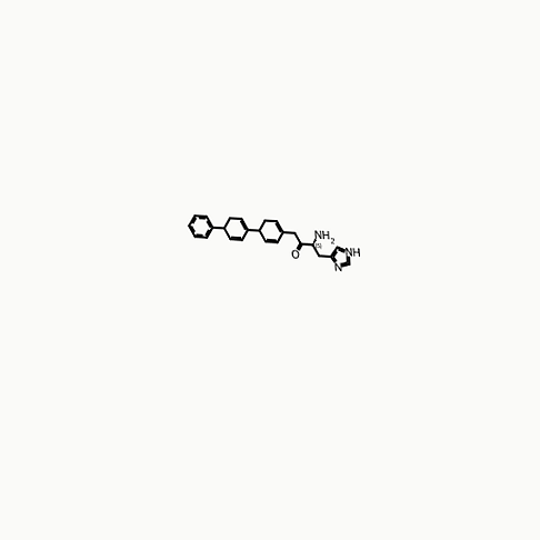 N[C@@H](Cc1c[nH]cn1)C(=O)CC1=CCC(C2=CCC(c3ccccc3)C=C2)C=C1